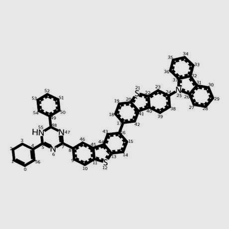 C1=CCCC(C2=NC(c3ccc4sc5ccc(-c6ccc7sc8cc(-n9c%10ccccc%10c%10ccccc%109)ccc8c7c6)cc5c4c3)=NC(c3ccccc3)N2)=C1